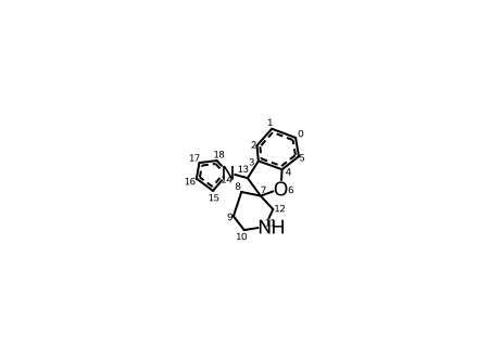 c1ccc2c(c1)OC1(CCCNC1)C2n1cccc1